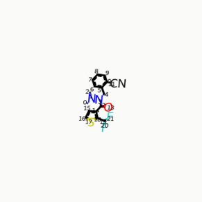 CN(C)N(Cc1ccccc1C#N)C(=O)c1ccsc1C(F)F